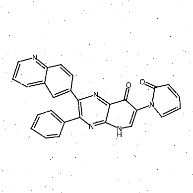 O=c1c(-n2ccccc2=O)c[nH]c2nc(-c3ccccc3)c(-c3ccc4ncccc4c3)nc12